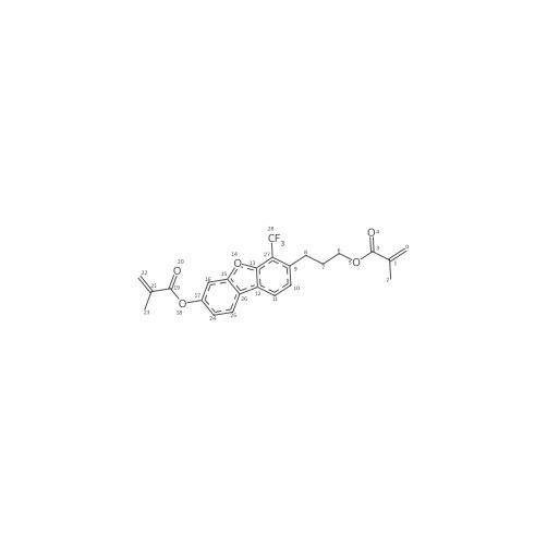 C=C(C)C(=O)OCCCc1ccc2c(oc3cc(OC(=O)C(=C)C)ccc32)c1C(F)(F)F